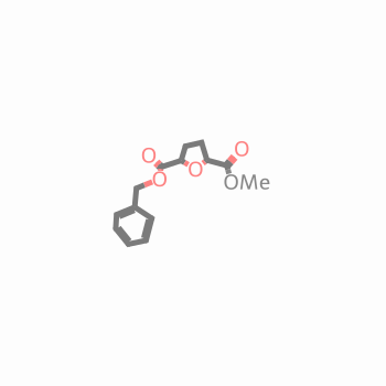 COC(=O)C1CCC(C(=O)OCc2ccccc2)O1